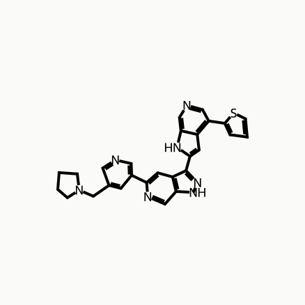 c1csc(-c2cncc3[nH]c(-c4n[nH]c5cnc(-c6cncc(CN7CCCC7)c6)cc45)cc23)c1